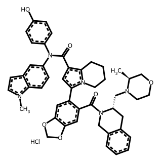 C[C@H]1COCCN1C[C@@H]1Cc2ccccc2CN1C(=O)c1cc2c(cc1-c1cc(C(=O)N(c3ccc(O)cc3)c3ccc4c(ccn4C)c3)c3n1CCCC3)OCO2.Cl